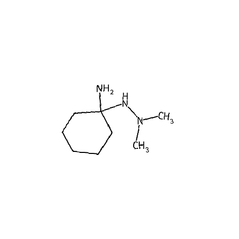 CN(C)NC1(N)CCCCC1